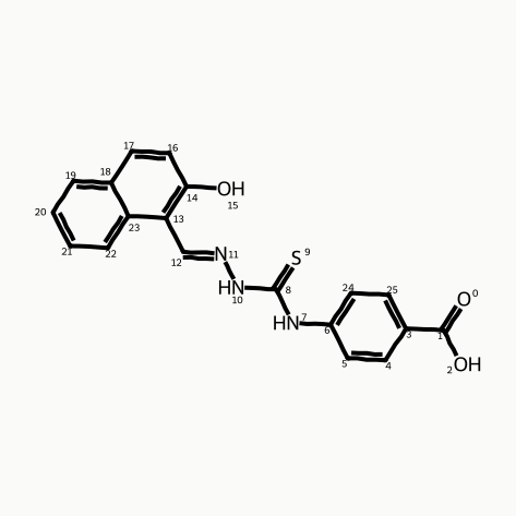 O=C(O)c1ccc(NC(=S)N/N=C/c2c(O)ccc3ccccc23)cc1